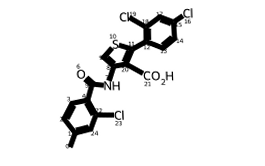 Cc1ccc(C(=O)Nc2csc(-c3ccc(Cl)cc3Cl)c2C(=O)O)c(Cl)c1